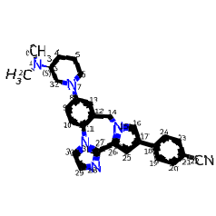 CN(C)[C@H]1CCCN(c2ccc3c(c2)Cn2cc(-c4ccc(C#N)cc4)cc2-c2nccn2-3)C1